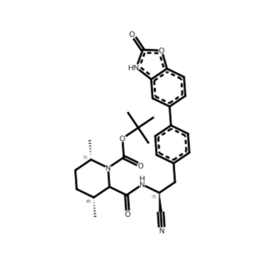 C[C@@H]1CC[C@H](C)N(C(=O)OC(C)(C)C)C1C(=O)N[C@H](C#N)Cc1ccc(-c2ccc3oc(=O)[nH]c3c2)cc1